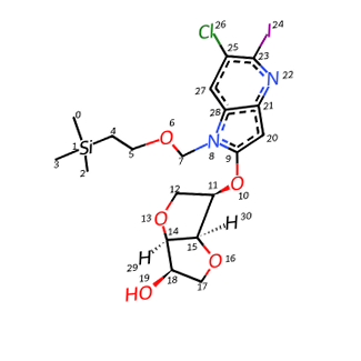 C[Si](C)(C)CCOCn1c(O[C@@H]2CO[C@H]3[C@@H]2OC[C@H]3O)cc2nc(I)c(Cl)cc21